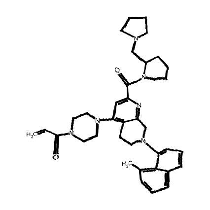 C=CC(=O)N1CCN(c2cc(C(=O)N3CCCCC3CN3CCCC3)nc3c2CCN(c2cccc4cccc(C)c24)C3)CC1